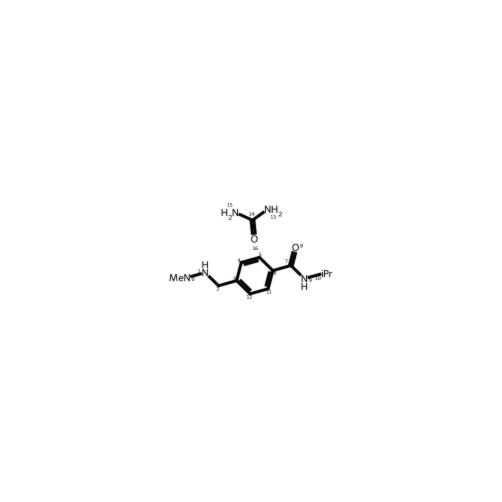 CNNCc1ccc(C(=O)NC(C)C)cc1.NC(N)=O